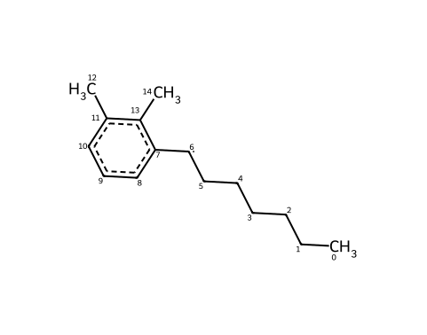 CCCCCC[CH]c1cccc(C)c1C